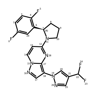 Fc1ccc(F)c([C@H]2CCCN2c2ccn3ncc(-n4cc(C(F)F)cn4)c3n2)c1